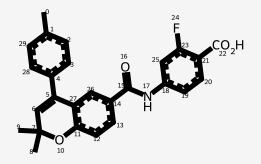 Cc1ccc(C2=CC(C)(C)Oc3ccc(C(=O)Nc4ccc(C(=O)O)c(F)c4)cc32)cc1